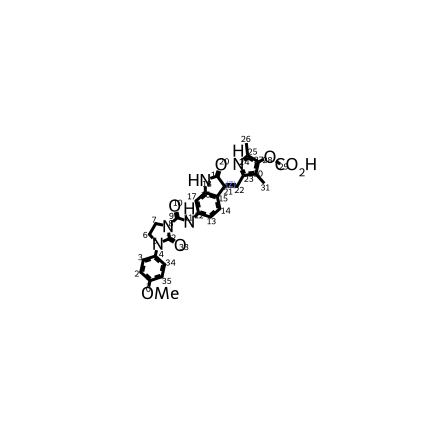 COc1ccc(N2CCN(C(=O)Nc3ccc4c(c3)NC(=O)/C4=C\c3[nH]c(C)c(OC(=O)O)c3C)C2=O)cc1